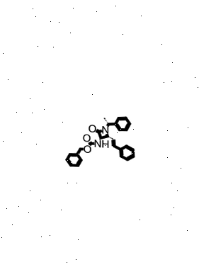 C[C@H](c1ccccc1)N1C(=O)[C@@H](NC(=O)OCc2ccccc2)[C@H]1C=Cc1ccccc1